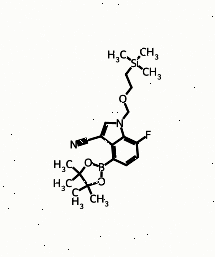 CC1(C)OB(c2ccc(F)c3c2c(C#N)cn3COCC[Si](C)(C)C)OC1(C)C